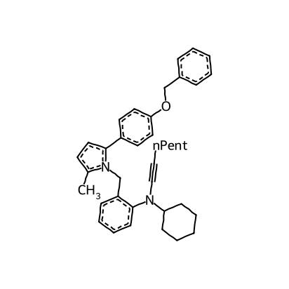 CCCCCC#CN(c1ccccc1Cn1c(C)ccc1-c1ccc(OCc2ccccc2)cc1)C1CCCCC1